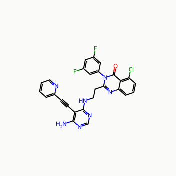 Nc1ncnc(NCCc2nc3cccc(Cl)c3c(=O)n2-c2cc(F)cc(F)c2)c1C#Cc1ccccn1